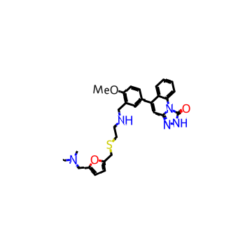 COc1ccc(-c2cc3n[nH]c(=O)n3c3ccccc23)cc1CNCCSCc1ccc(CN(C)C)o1